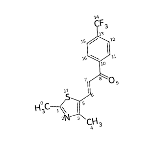 Cc1nc(C)c(C=CC(=O)c2ccc(C(F)(F)F)cc2)s1